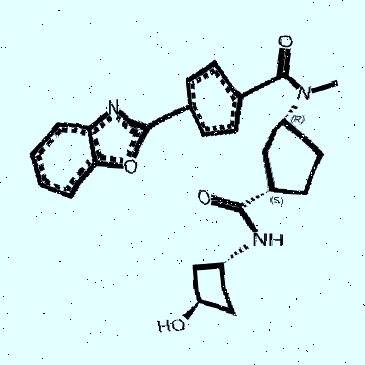 CN(C(=O)c1ccc(-c2nc3ccccc3o2)cc1)[C@@H]1CC[C@H](C(=O)N[C@H]2C[C@H](O)C2)C1